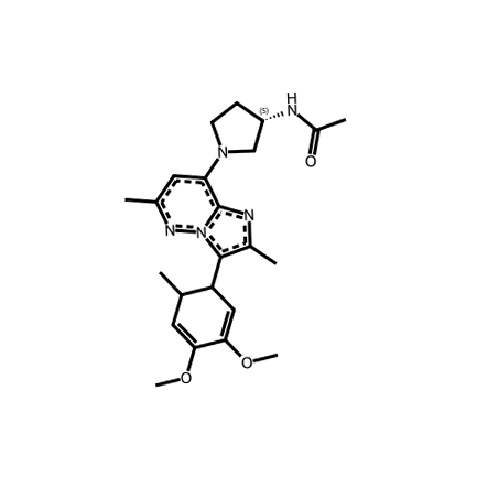 COC1=CC(C)C(c2c(C)nc3c(N4CC[C@H](NC(C)=O)C4)cc(C)nn23)C=C1OC